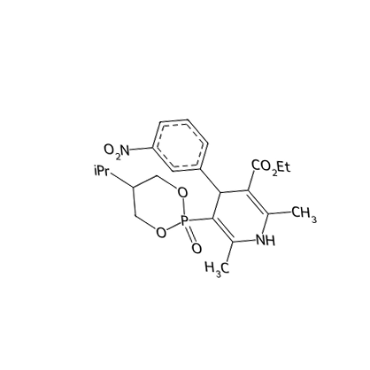 CCOC(=O)C1=C(C)NC(C)=C(P2(=O)OCC(C(C)C)CO2)C1c1cccc([N+](=O)[O-])c1